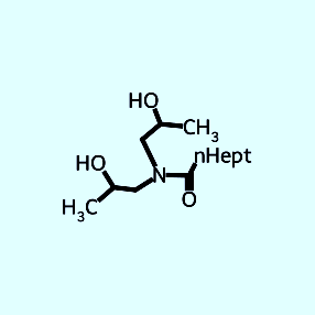 CCCCCCCC(=O)N(CC(C)O)CC(C)O